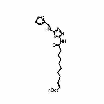 CCCCCCCC/C=C/CCCCCCCC(=O)Nc1nnc(NCc2ccco2)s1